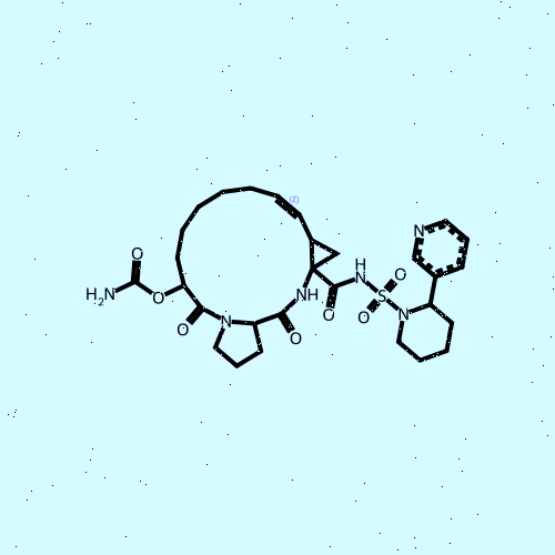 NC(=O)OC1CCCCC/C=C\C2CC2(C(=O)NS(=O)(=O)N2CCCCC2c2cccnc2)NC(=O)C2CCCN2C1=O